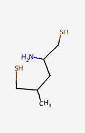 CC(CS)CC(N)CS